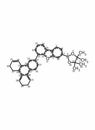 CC1(C)OB(c2ccc3c(c2)oc2c(-c4ccc5c6c(c7c(c5c4)C=CCC7)=CCCC=6)cccc23)OC1(C)C